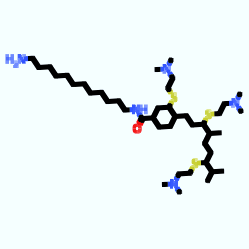 CC(C)C(CCC(C)C(CCC1CCC(C(=O)NCCCCCCCCCCCCN)CC1SCCN(C)C)SCCN(C)C)SCCN(C)C